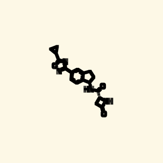 O=C1C[C@H](C(=O)N[C@@H]2CCc3cc(-c4noc(C5CC5)n4)ccc32)N1